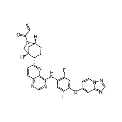 C=CC(=O)N1C[C@@H]2C[C@H]1CC[C@@H]2c1ccc2ncnc(Nc3cc(C)c(Oc4ccn5ncnc5c4)cc3F)c2n1